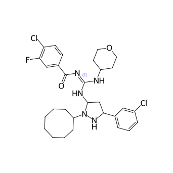 O=C(/N=C(/NC1CCOCC1)NC1CC(c2cccc(Cl)c2)NN1C1CCCCCCC1)c1ccc(Cl)c(F)c1